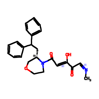 C/N=C\C(=O)/C(O)=C/C(=O)N1CCOC[C@@H]1CC(c1ccccc1)c1ccccc1